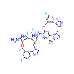 CCn1cnc2c1-c1cnc(N[n+]3cc4c(n3C(F)F)-c3cnc(N)c(c3)OC(C)c3cc(F)ccc3-c3nccn3C4)c(c1)O[C@H](C)c1cc(F)ccc1-c1c(cnn1C)C2